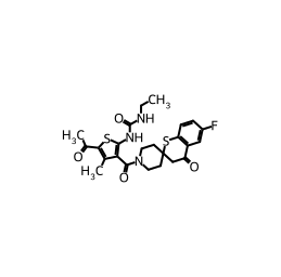 CCNC(=O)Nc1sc(C(C)=O)c(C)c1C(=O)N1CCC2(CC1)CC(=O)c1cc(F)ccc1S2